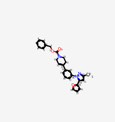 O=C(OCc1ccccc1)N1CC=C(c2cccc(-n3nc(C(F)(F)F)cc3-c3ccco3)c2)CC1